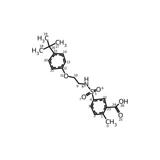 Cc1ccc(S(=O)(=O)NCCOc2ccc(C(C)(C)C)cc2)cc1C(=O)O